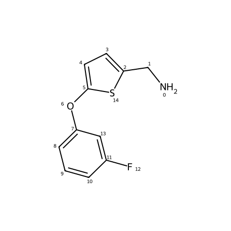 NCc1ccc(Oc2cccc(F)c2)s1